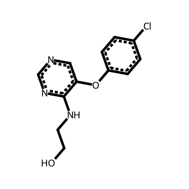 OCCNc1ncncc1Oc1ccc(Cl)cc1